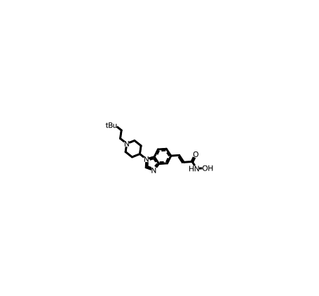 CC(C)(C)CCN1CCC(n2cnc3cc(C=CC(=O)NO)ccc32)CC1